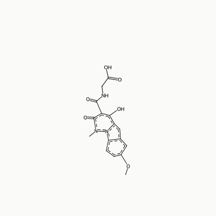 COc1ccc2c(c1)cc1c(O)c(C(=O)NCC(=O)O)c(=O)n(C)n12